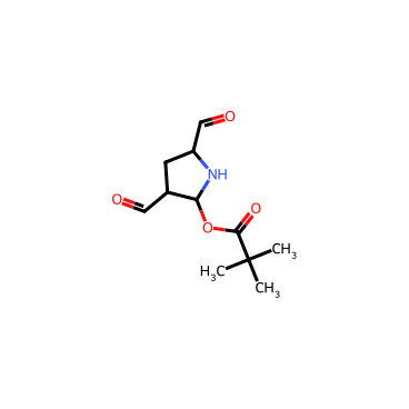 CC(C)(C)C(=O)OC1NC(C=O)CC1C=O